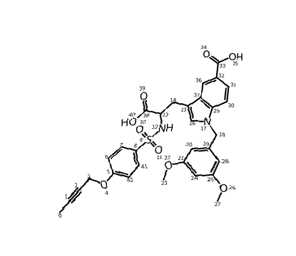 CC#CCOc1ccc(S(=O)(=O)NC(Cc2cn(Cc3cc(OC)cc(OC)c3)c3ccc(C(=O)O)cc23)C(=O)O)cc1